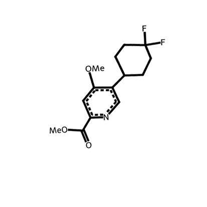 COC(=O)c1cc(OC)c(C2CCC(F)(F)CC2)cn1